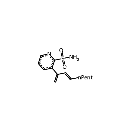 C=C(/C=C/CCCCC)c1cccnc1S(N)(=O)=O